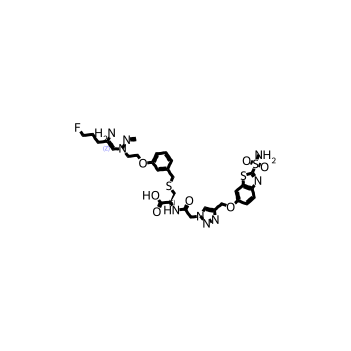 C=NN(/C=C(\N)CCCF)CCOc1cccc(CSC[C@@H](NC(=O)Cn2cc(COc3ccc4nc(S(N)(=O)=O)sc4c3)nn2)C(=O)O)c1